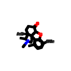 COc1ccc(C)c2c1OC1C(=O)CCC3(OC(C)=O)C(C)N(C)CCC213